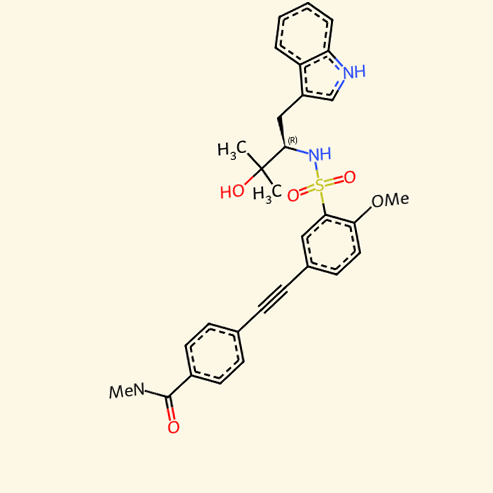 CNC(=O)c1ccc(C#Cc2ccc(OC)c(S(=O)(=O)N[C@H](Cc3c[nH]c4ccccc34)C(C)(C)O)c2)cc1